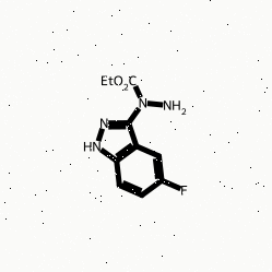 CCOC(=O)N(N)c1n[nH]c2ccc(F)cc12